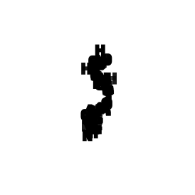 CCc1cc(N2C(=S)N(c3cnc(C#N)c(C(F)(F)F)c3)C(=O)C23CCC3)ccc1OCCC1CCN(C(C)C(=O)Nc2cc(NC3CCC(=O)NC3=O)ccc2F)CC1